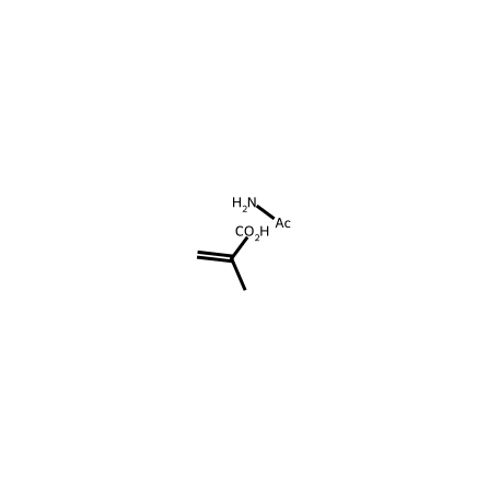 C=C(C)C(=O)O.CC(N)=O